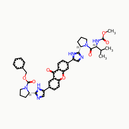 COC(=O)N[C@H](C(=O)N1CCC[C@H]1c1ncc(-c2ccc3c(=O)c4cc(-c5cnc([C@@H]6CCCN6C(=O)OCc6ccccc6)[nH]5)ccc4oc3c2)[nH]1)C(C)C